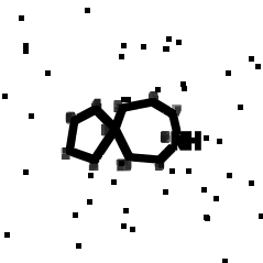 C1CCC2(C1)CCCNCC2